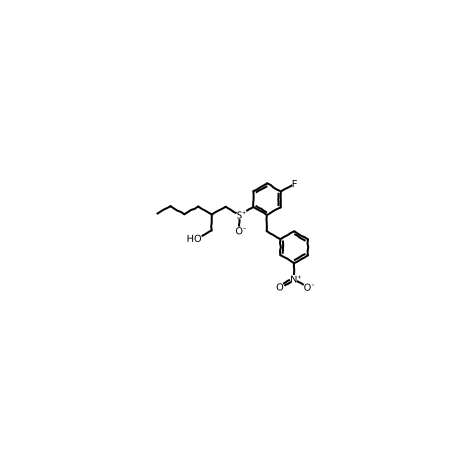 CCCCC(CO)C[S+]([O-])c1ccc(F)cc1Cc1cccc([N+](=O)[O-])c1